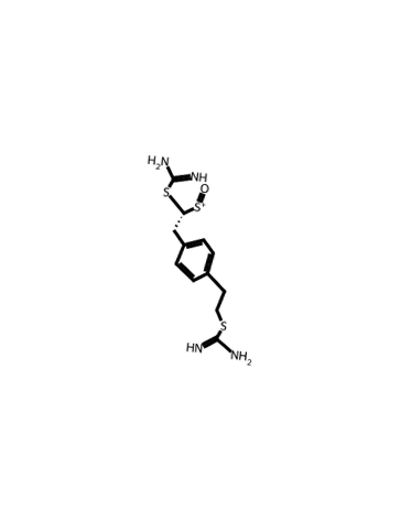 N=C(N)SCCc1ccc(C[C@H](SC(=N)N)[S+]=O)cc1